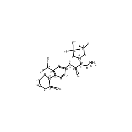 CC(C)CN(CC(F)(F)F)[C@@H](CN)C(=O)Nc1ccc(N2CCOCC2=O)c(C(F)F)c1